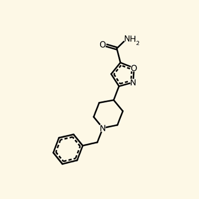 NC(=O)c1cc(C2CCN(Cc3ccccc3)CC2)no1